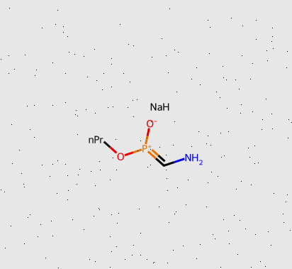 CCCO/[P+]([O-])=C/N.[NaH]